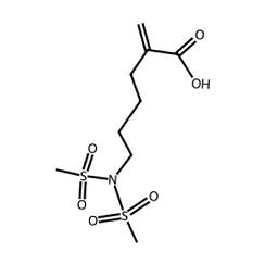 C=C(CCCCN(S(C)(=O)=O)S(C)(=O)=O)C(=O)O